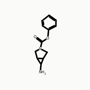 NC1C2CN(C(=O)Oc3ccccc3)CC12